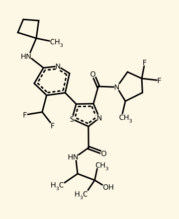 CC1CC(F)(F)CN1C(=O)c1nc(C(=O)NC(C)C(C)(C)O)sc1-c1cnc(NC2(C)CCC2)cc1C(F)F